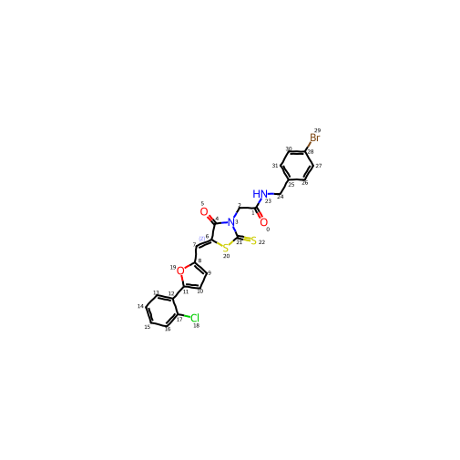 O=C(CN1C(=O)/C(=C/c2ccc(-c3ccccc3Cl)o2)SC1=S)NCc1ccc(Br)cc1